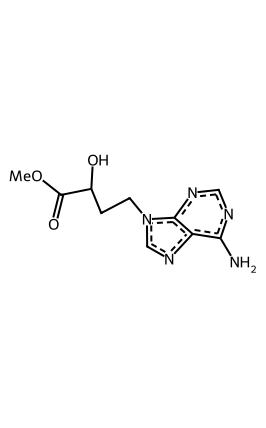 COC(=O)C(O)CCn1cnc2c(N)ncnc21